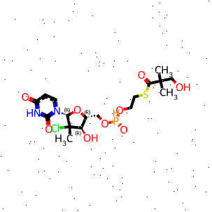 CC(C)(CO)C(=O)SCCO[PH](=O)OC[C@H]1O[C@@H](n2ccc(=O)[nH]c2=O)C(C)(Cl)[C@@H]1O